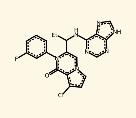 CCC(Nc1ncnc2[nH]cnc12)c1cn2ccc(Cl)c2c(=O)n1-c1cccc(F)c1